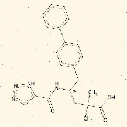 CC(C)(C[C@@H](Cc1ccc(-c2ccccc2)cc1)NC(=O)c1cnn[nH]1)C(=O)O